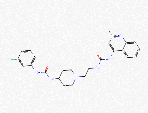 Cc1cc(NC(=O)NCCN2CCC(NC(=O)Nc3cccc(F)c3)CC2)c2ccccc2n1